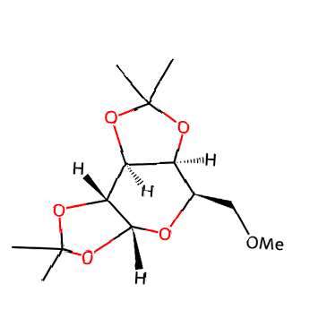 COC[C@H]1O[C@@H]2OC(C)(C)O[C@@H]2[C@H]2OC(C)(C)O[C@H]21